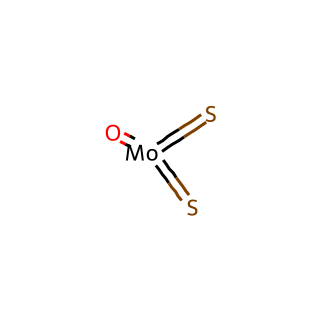 [O]=[Mo](=[S])=[S]